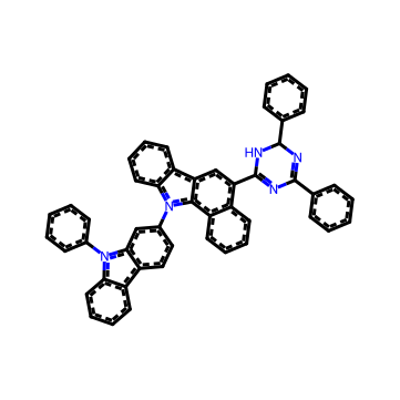 c1ccc(C2=NC(c3ccccc3)NC(c3cc4c5ccccc5n(-c5ccc6c7ccccc7n(-c7ccccc7)c6c5)c4c4ccccc34)=N2)cc1